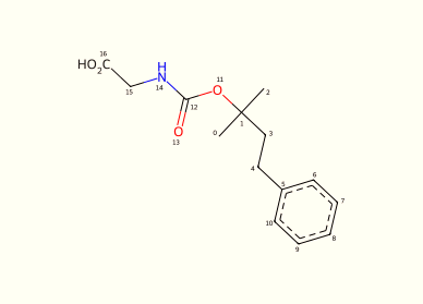 CC(C)(CCc1ccccc1)OC(=O)NCC(=O)O